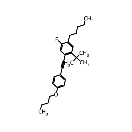 CCCCCc1cc(C(C)(C)C)c(C#Cc2ccc(OCCCC)cc2)cc1F